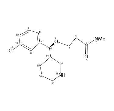 CNC(=O)CCO[C@H](c1cccc(Cl)c1)C1CCCNC1